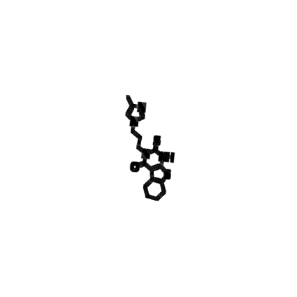 Cc1cn(CCCn2c(=S)[nH]c3sc4c(c3c2=O)CCCC4)cn1